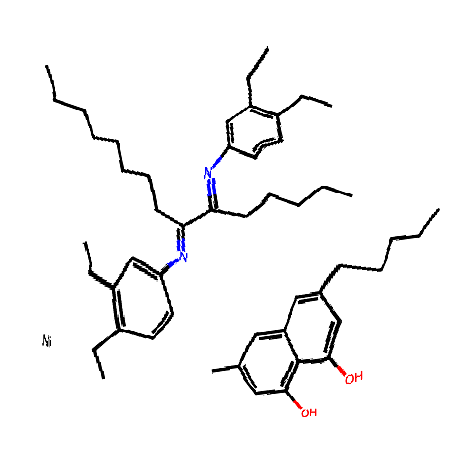 CCCCCCCCC(=Nc1ccc(CC)c(CC)c1)C(CCCCC)=Nc1ccc(CC)c(CC)c1.CCCCCc1cc(O)c2c(O)cc(C)cc2c1.[Ni]